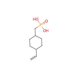 C=CC1CCC(CP(=O)(O)O)CC1